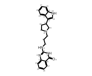 O=c1[nH]c(NCCCN2CCC(c3c[nH]c4ccccc34)C2)nc2ccccc12